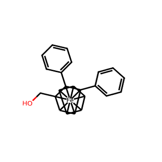 OC[C]12[CH]3[CH]4[C]5(c6ccccc6)[C]1(c1ccccc1)[Fe]34251678[CH]2[CH]1[CH]6[CH]7[CH]28